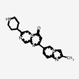 Cc1cn2cc(-c3cc(=O)n4cc(C5CCNCC5)ncc4n3)ccc2n1